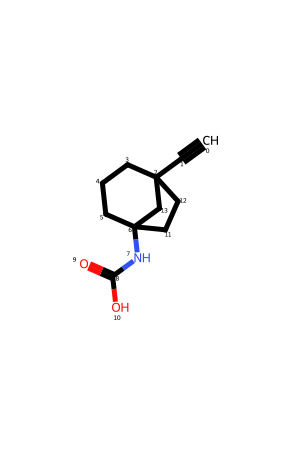 C#CC12CCCC(NC(=O)O)(CC1)C2